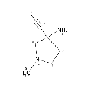 CN1CCC(N)(C#N)C1